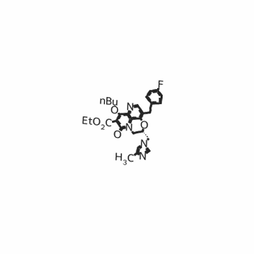 CCCCOc1c(C(=O)OCC)c(=O)n2c3c(c(Cc4ccc(F)cc4)cnc13)O[C@H](Cn1cnc(C)c1)C2